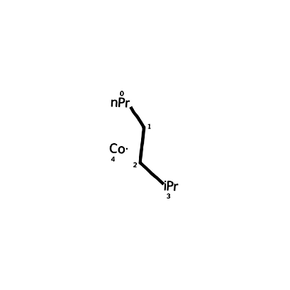 [CH2]CCCCC(C)C.[Co]